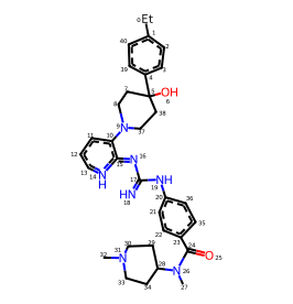 CCc1ccc(C2(O)CCN(c3ccc[nH]/c3=N\C(=N)Nc3ccc(C(=O)N(C)C4CCN(C)CC4)cc3)CC2)cc1